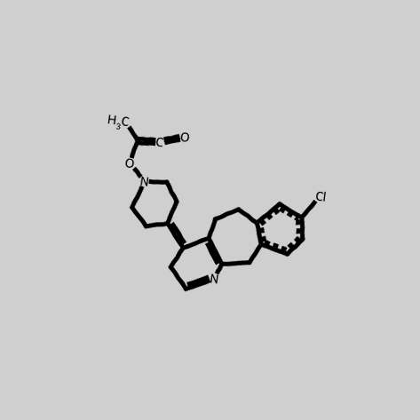 CC(=C=O)ON1CCC(=C2CC=NC3=C2CCc2cc(Cl)ccc2C3)CC1